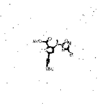 CCc1noc(N(C)c2cc(C#CC(C)(C)C)sc2C(=O)OC)n1